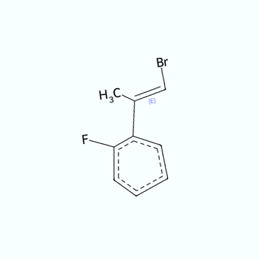 C/C(=C\Br)c1ccccc1F